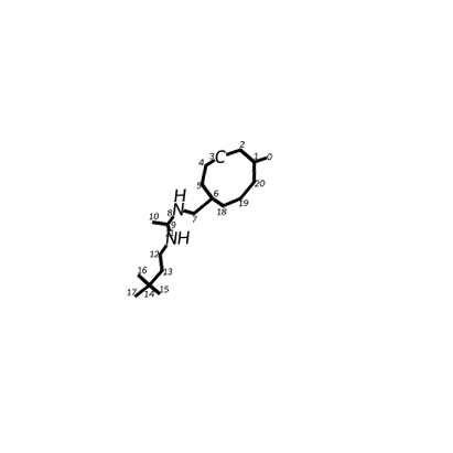 CC1CCCCC(CNC(C)NCCC(C)(C)C)CCC1